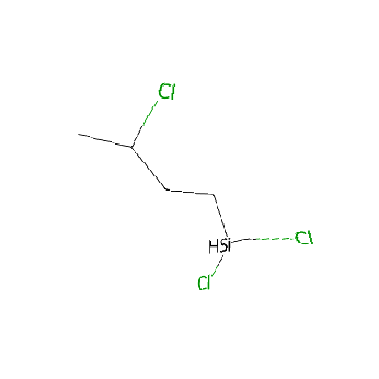 CC(Cl)CC[SiH](Cl)Cl